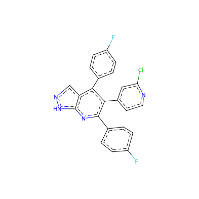 Fc1ccc(-c2nc3[nH]ncc3c(-c3ccc(F)cc3)c2-c2ccnc(Cl)c2)cc1